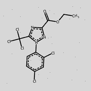 CCOC(=O)c1nc(C(Cl)(Cl)Cl)n(-c2ccc(Cl)cc2Cl)n1